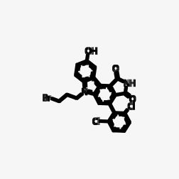 O=C1NC(=O)c2c1c(-c1c(Cl)cccc1Cl)cc1c2c2cc(O)ccc2n1CCCBr